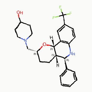 OC1CCN(C[C@H]2CC[C@@H]3[C@H](O2)c2cc(C(F)(F)F)ccc2N[C@H]3c2ccccc2)CC1